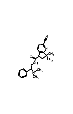 CN(C)C(CNC(=O)N1CC(C)(C)c2nc(C#N)ccc21)c1ccccc1